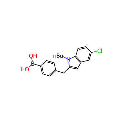 CCCCn1c(Cc2ccc(B(O)O)cc2)cc2cc(Cl)ccc21